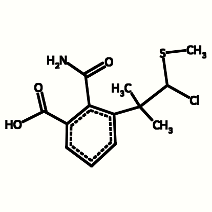 CSC(Cl)C(C)(C)c1cccc(C(=O)O)c1C(N)=O